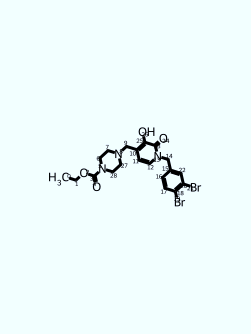 CCOC(=O)N1CCN(Cc2ccn(Cc3ccc(Br)c(Br)c3)c(=O)c2O)CC1